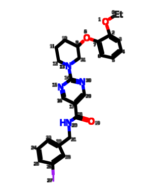 CCOc1ccccc1OC1CCCN(c2ncc(C(=O)NCc3cccc(I)c3)cn2)C1